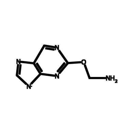 NCOc1ncc2c(n1)[N]C=N2